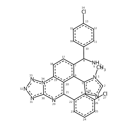 Cn1cncc1-c1c(C(N)c2ccc(Cl)cc2)ccc2c1c(-c1cccc(Cl)c1)nc1nnnn12